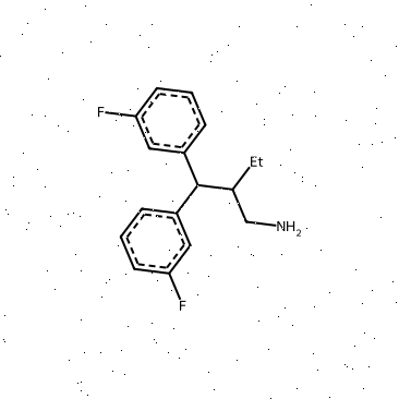 CCC(CN)C(c1cccc(F)c1)c1cccc(F)c1